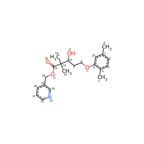 Cc1ccc(C)c(OCCC(O)C(C)(C)C(=O)OCc2cccnc2)c1